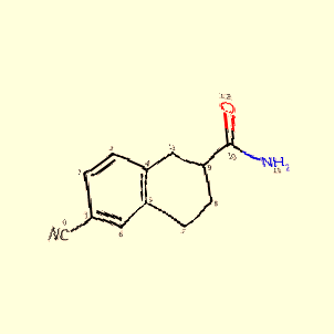 N#Cc1ccc2c(c1)CCC(C(N)=O)C2